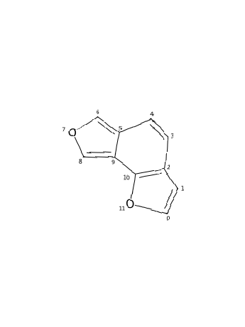 c1cc2ccc3cocc3c2o1